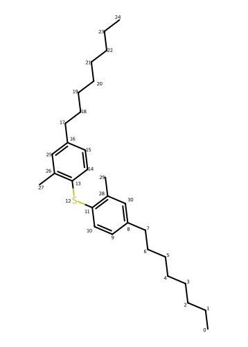 CCCCCCCCc1ccc(Sc2ccc(CCCCCCCC)cc2C)c(C)c1